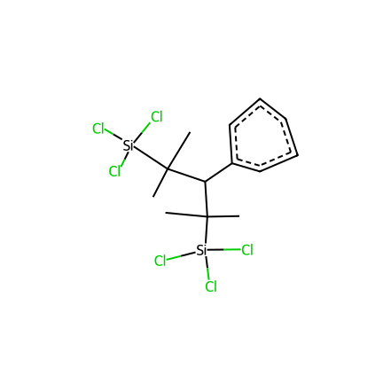 CC(C)(C(c1ccccc1)C(C)(C)[Si](Cl)(Cl)Cl)[Si](Cl)(Cl)Cl